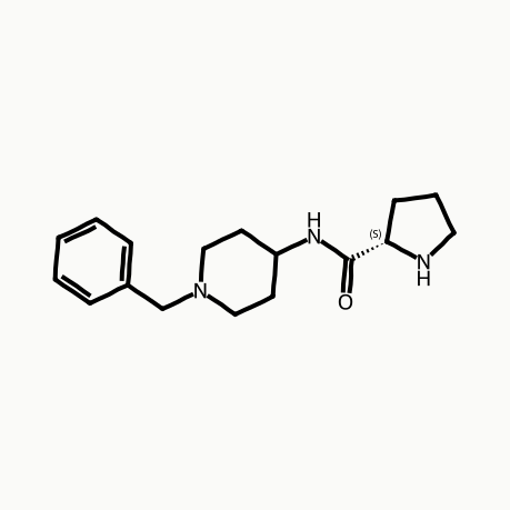 O=C(NC1CCN(Cc2ccccc2)CC1)[C@@H]1CCCN1